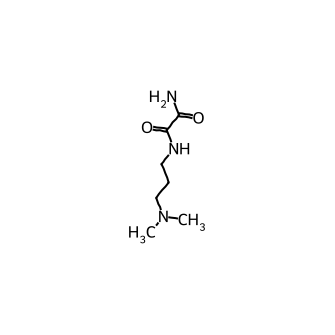 CN(C)CCCNC(=O)C(N)=O